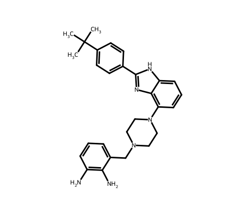 CC(C)(C)c1ccc(-c2nc3c(N4CCN(Cc5cccc(N)c5N)CC4)cccc3[nH]2)cc1